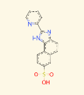 O=S(=O)(O)c1ccc2c(ccc3nc(-c4ccccn4)[nH]c32)c1